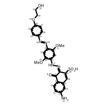 COc1cc(N/N=C2\C(=O)c3ccc(N)cc3C=C2S(=O)(=O)O)c(OC)cc1/N=N/c1ccc(OCCO)cc1